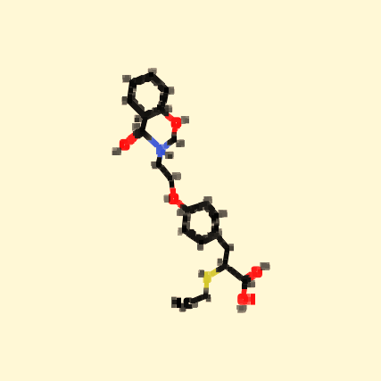 CCSC(Cc1ccc(OCCN2COc3ccccc3C2=O)cc1)C(=O)O